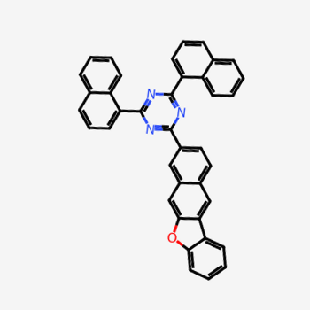 c1ccc2c(-c3nc(-c4ccc5cc6c(cc5c4)oc4ccccc46)nc(-c4cccc5ccccc45)n3)cccc2c1